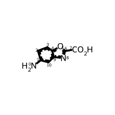 Nc1ccc2oc(C(=O)O)nc2c1